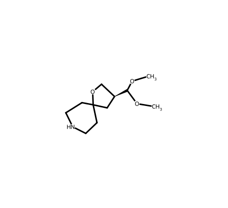 COC(OC)[C@@H]1COC2(CCNCC2)C1